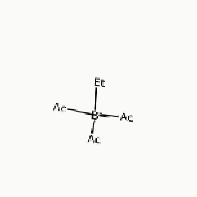 CC[B-](C(C)=O)(C(C)=O)C(C)=O